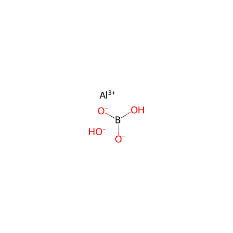 [Al+3].[O-]B([O-])O.[OH-]